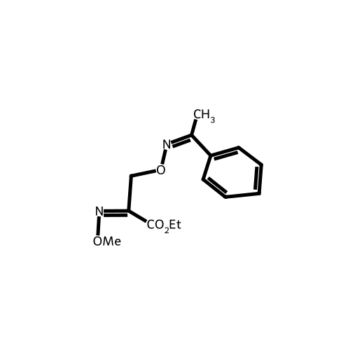 CCOC(=O)/C(CO/N=C(/C)c1ccccc1)=N\OC